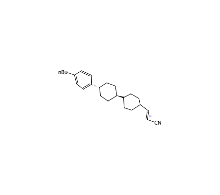 CCCCc1ccc([C@H]2CC[C@H](C3CCC(/C=C/C#N)CC3)CC2)cc1